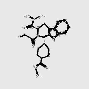 COC(=O)C1CCC([C@H]2c3[nH]c4ccccc4c3C[C@H](C(=O)N(C)C)N2C(=O)CCl)CC1